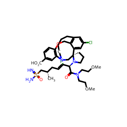 COCCN(CCOC)C(=O)[C@@H](/C(F)=C/C[C@H](C)CS(=N)(N)=O)N1CCC[C@@]12CN1CCCCc3cc(Cl)cc2c3COc2ccc(C(=O)O)cc21